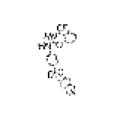 CN1Cc2ccc(CS(=O)(=O)c3ccc(NC(=O)NC(c4ccccc4)C(F)(F)F)cc3)cc2C1